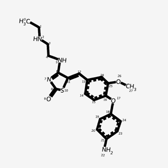 CCNCCNC1=NC(=O)S/C1=C\c1ccc(Oc2ccc(N)cc2)c(OC)c1